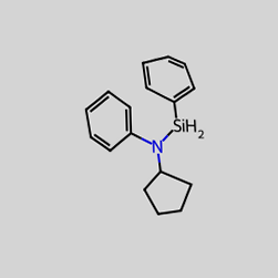 c1ccc([SiH2]N(c2ccccc2)C2CCCC2)cc1